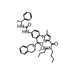 CCCCN(CCCC)C(=O)c1cc(C)n(-c2ccc(NC(=O)N[C@@H](C)c3ccccc3)cc2C(=O)N2Cc3ccccc3C[C@H]2CO)n1